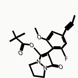 CC#Cc1cc(F)c(-c2c(OC(=O)C(C)(C)C)n3n(c2=O)CCC3)c(OC)c1